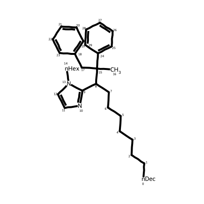 CCCCCCCCCCCCCCCCCC(c1nccn1CCCCCC)C(C)(Cc1ccccc1)c1ccccc1